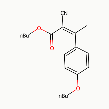 CCCCOC(=O)/C(C#N)=C(/C)c1ccc(OCCCC)cc1